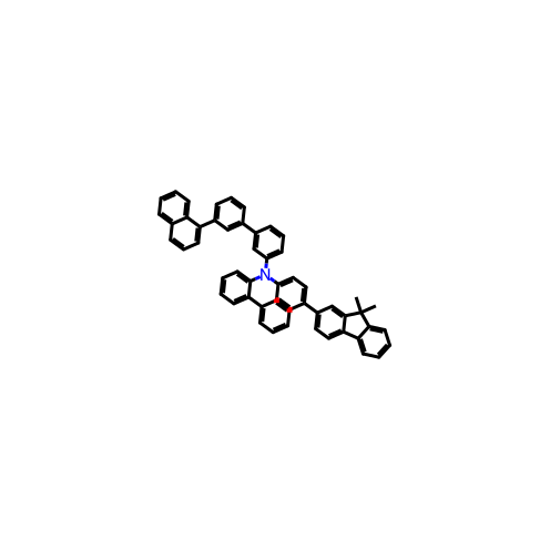 CC1(C)c2ccccc2-c2ccc(-c3ccc(N(c4cccc(-c5cccc(-c6cccc7ccccc67)c5)c4)c4ccccc4-c4ccccc4)cc3)cc21